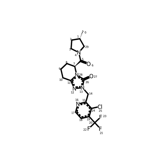 C[C@H]1CCN(C(=O)[C@@H]2CCCc3nn(Cc4nccc(C(F)(F)F)c4Cl)c(=O)n32)C1